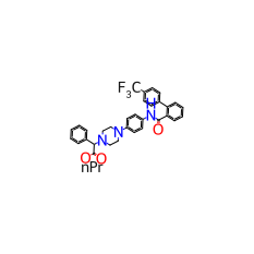 CCCOC(=O)C(c1ccccc1)N1CCN(c2ccc(NC(=O)c3ccccc3-c3ccc(C(F)(F)F)cc3)cc2)CC1